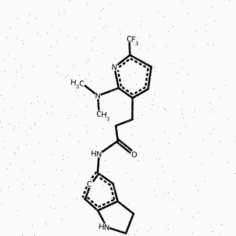 CN(C)c1nc(C(F)(F)F)ccc1CCC(=O)Nc1ccc2c(c1)CCN2